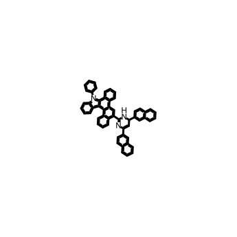 C1=C(c2ccc3ccccc3c2)N=C(c2cc3c4ccccc4c4c(c5ccccc5n4-c4ccccc4)c3c3ccccc23)NC1c1ccc2ccccc2c1